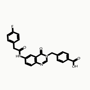 O=C(Cc1ccc(F)cc1)Nc1ccc2ncn(Cc3ccc(C(=O)O)cc3)c(=O)c2c1